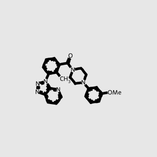 COc1cccc(N2CCN(C(=O)c3cccc(-n4nnc5cccnc54)c3C)CC2)c1